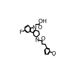 COc1cccc(CCC(=O)N(C)C2CCc3c(c4cc(F)ccc4n3CC(=O)O)C2)c1